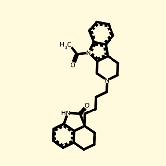 CC(=O)n1c2c(c3ccccc31)CCN(CCCCC13CCCc4cccc(c41)NC3=O)C2